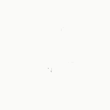 CS(C)=Nc1ccc(Cl)cc1C(F)(F)F